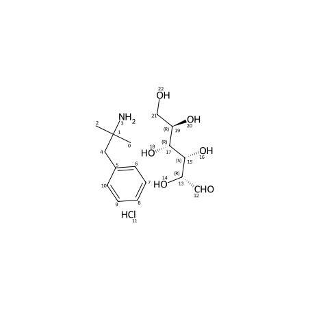 CC(C)(N)Cc1ccccc1.Cl.O=C[C@H](O)[C@@H](O)[C@H](O)[C@H](O)CO